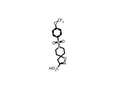 O=C(O)C1=NOC2(CCN(S(=O)(=O)c3ccc(OC(F)(F)F)cc3)CC2)C1